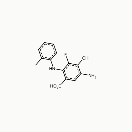 Cc1ccccc1Nc1c(C(=O)O)cc(N)c(O)c1F